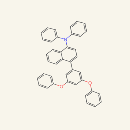 c1ccc(Oc2cc(Oc3ccccc3)cc(-c3ccc(N(c4ccccc4)c4ccccc4)c4ccccc34)c2)cc1